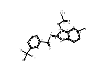 Cc1ccc2s/c(=N\C(=O)c3cccc(C(F)(F)F)c3)n(CC(=O)O)c2c1